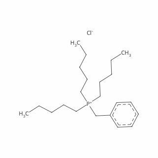 CCCCC[P+](CCCCC)(CCCCC)Cc1ccccc1.[Cl-]